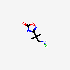 CC(C)(CNCl)c1noc(=O)[nH]1